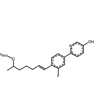 CCCCCOC(C)CCCC=Cc1ccc(-c2ccc(O)cn2)cc1F